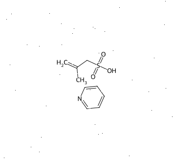 C=C(C)CS(=O)(=O)O.c1ccncc1